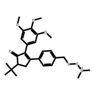 COc1cc(C2=C(c3ccc(CSO[SiH](C)C)cc3)CC(C(C)(C)C)C2=O)cc(OC)c1OC